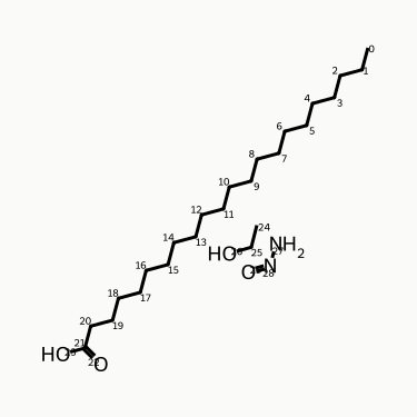 CCCCCCCCCCCCCCCCCCCCCC(=O)O.CCO.NN=O